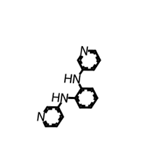 c1cncc(Nc2ccccc2Nc2cccnc2)c1